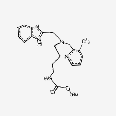 Cc1cccnc1CN(CCCCNC(=O)OC(C)(C)C)Cc1nc2ccccc2[nH]1